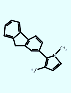 Cc1ccn(C)c1-c1[c]c2c(cc1)-c1ccccc1C2